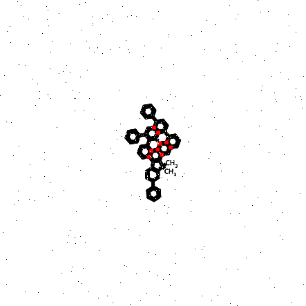 CC1(C)C2=C(C=CC(c3ccccc3)C2)c2ccc(N(c3ccccc3-c3ccc(-c4ccccc4)cc3)c3cccc(-c4ccccc4)c3-c3ccccc3-c3ccccc3)cc21